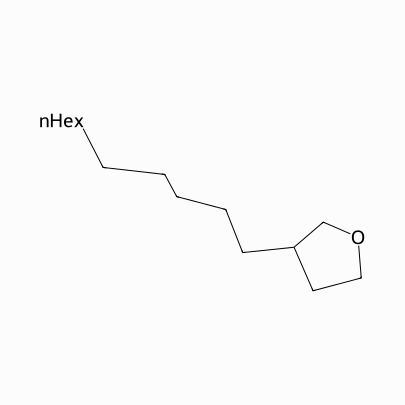 [CH2]CCCCCCCCCCC1CCOC1